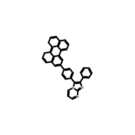 C1=Cc2cccc3c2c(c2c4c(cc(-c5ccc(-c6c(-c7ccccc7)nc7ncccn67)cc5)cc43)C=CC2)C1